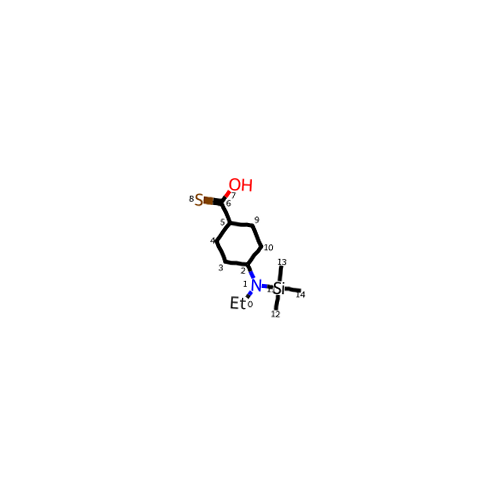 CCN(C1CCC(C(O)=S)CC1)[Si](C)(C)C